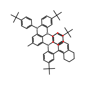 Cc1cc2c3c(c1)N(c1ccc(C(C)(C)C)cc1-c1c4c(cc5c1CCCC5)CCCC4)c1ccc(C(C)(C)C)cc1B3c1cc(C(C)(C)C)ccc1N2c1ccc(C(C)(C)C)cc1